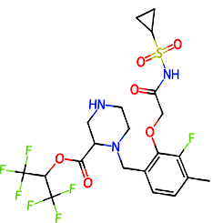 Cc1ccc(CN2CCNCC2C(=O)OC(C(F)(F)F)C(F)(F)F)c(OCC(=O)NS(=O)(=O)C2CC2)c1F